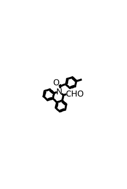 Cc1ccc(C(=O)N2c3ccccc3-c3ccccc3C2C=O)cc1